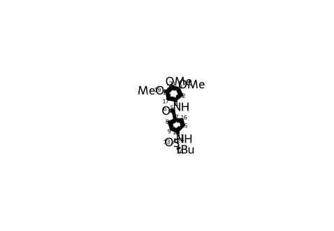 COc1cc(NC(=O)c2ccc(N[S+]([O-])C(C)(C)C)cc2)cc(OC)c1OC